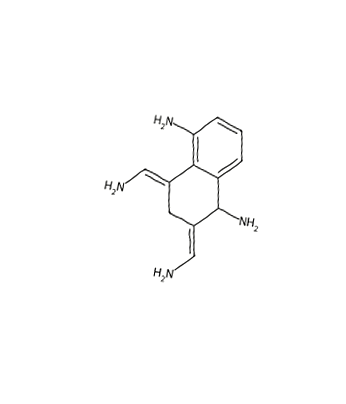 NC=C1CC(=CN)C(N)c2cccc(N)c21